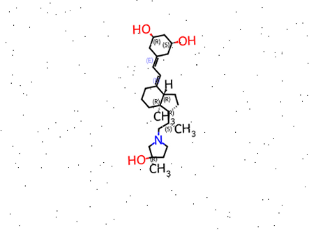 C[C@H](CN1CC[C@@](C)(O)C1)[C@H]1CC[C@H]2/C(=C/C=C3/C[C@@H](O)C[C@@H](O)C3)CCC[C@]12C